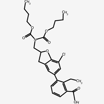 CCCCOC(=O)N(CC1Cc2cc(-c3cccc(C(=O)O)c3CC)cc(Cl)c2O1)C(=O)OCCCC